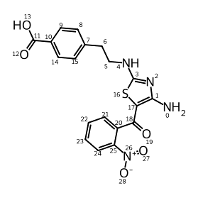 Nc1nc(NCCc2ccc(C(=O)O)cc2)sc1C(=O)c1ccccc1[N+](=O)[O-]